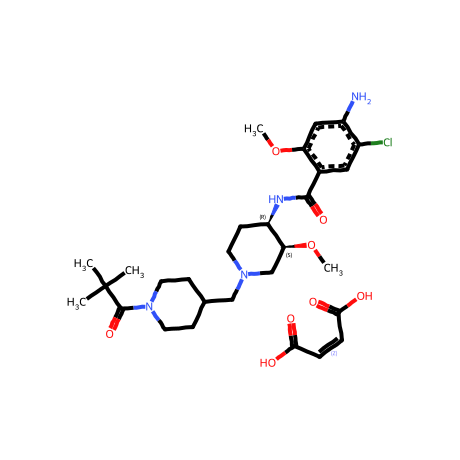 COc1cc(N)c(Cl)cc1C(=O)N[C@@H]1CCN(CC2CCN(C(=O)C(C)(C)C)CC2)C[C@@H]1OC.O=C(O)/C=C\C(=O)O